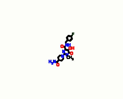 Cn1c(N2CCC(C(N)=O)CC2)nc(C(=O)NCc2ccc(F)cc2)c(O)c1=O